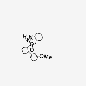 COc1cccc(C2(OC(=O)CC3(CN)CCCCC3)CCCCC2CN(C)C)c1